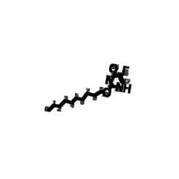 CCCCCCCCCCOc1nc(=O)c(F)c[nH]1